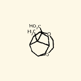 CC1(CC(=O)O)C2CC3CC1CC(C2)OCCO3